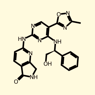 Cc1noc(-c2cnc(Nc3ccc4c(n3)CNC4=O)nc2N[C@H](CO)c2ccccc2)n1